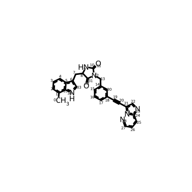 Cc1cccc2c(CC3NC(=O)N(Cc4cccc(C#Cc5cnc6cccnn56)c4)C3=O)c[nH]c12